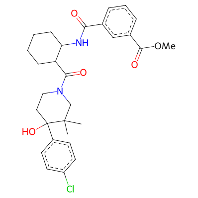 COC(=O)c1cccc(C(=O)NC2CCCCC2C(=O)N2CCC(O)(c3ccc(Cl)cc3)C(C)(C)C2)c1